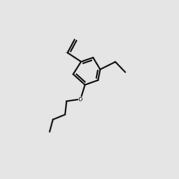 C=[C]c1cc(CC)cc(OCCCC)c1